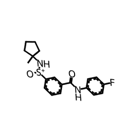 CC1(N[S+]([O-])c2cccc(C(=O)Nc3ccc(F)cc3)c2)CCCC1